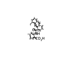 Cc1cccc2nc3cccc(C(=O)Nc4ccccc4C(=O)O)c3nc12